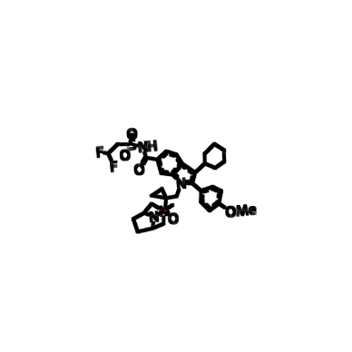 COc1ccc(-c2c(C3CCCCC3)c3ccc(C(=O)NS(=O)(=O)CC(F)F)cc3n2CC2(C(=O)N3C4CCC3CN(C)C4)CC2)cc1